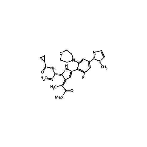 C=N/C(NC(=O)C1CC1)=c1/[nH]c(-c2c(F)cc(-c3nccn3C)cc2N2CCOCC2)c/c1=C(/C)C(=O)NC